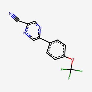 N#Cc1cnc(-c2ccc(OC(F)(F)F)cc2)cn1